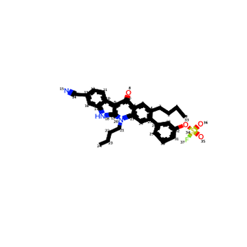 CCCCc1cc2c(=O)c3c4ccc(C#N)cc4[nH]c3n(CCCC)c2cc1-c1cccc(OS(=O)(=O)F)c1